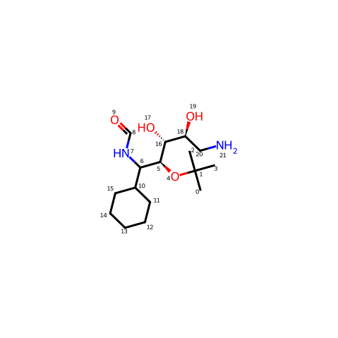 CC(C)(C)O[C@@H](C(NC=O)C1CCCCC1)[C@H](O)[C@@H](O)CN